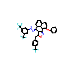 C/C(=N\Nc1cc(C(F)(F)F)cc(C(F)(F)F)c1)c1c(-c2c(Oc3ccccc3)ccc3ccccc23)noc1Cc1ccc(C(F)(F)F)cc1